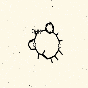 C/C1=C\C(C)C(C)C(C)CC(C)C(C)c2cccc(c2)NC(=O)C2=CCCC(O2)C1C